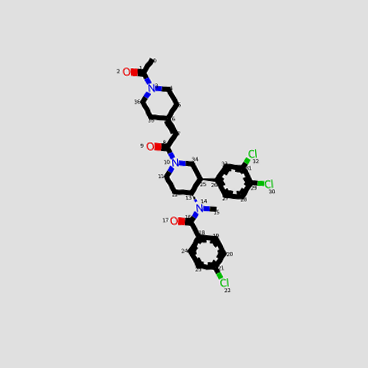 CC(=O)N1CCC(=CC(=O)N2CC[C@@H](N(C)C(=O)c3ccc(Cl)cc3)[C@H](c3ccc(Cl)c(Cl)c3)C2)CC1